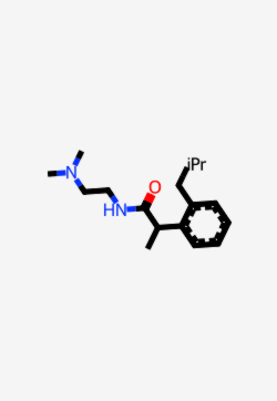 CC(C)Cc1ccccc1C(C)C(=O)NCCN(C)C